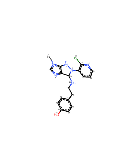 CC(C)n1cnc2c1NN(c1cccnc1Cl)C2NCCc1ccc(O)cc1